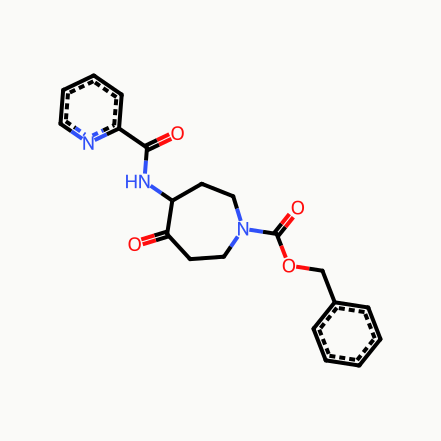 O=C(NC1CCN(C(=O)OCc2ccccc2)CCC1=O)c1ccccn1